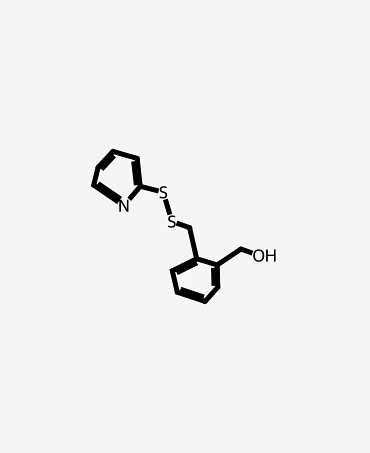 OCc1ccccc1CSSc1ccccn1